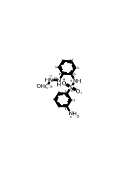 Nc1cccc(S(=O)(=O)Nc2ccccc2NNC=O)c1